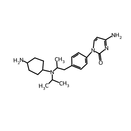 CC(C)N(C(C)Cc1ccc(-n2ccc(N)nc2=O)cc1)C1CCC(N)CC1